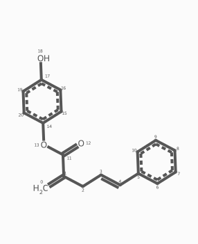 C=C(CC=Cc1ccccc1)C(=O)Oc1ccc(O)cc1